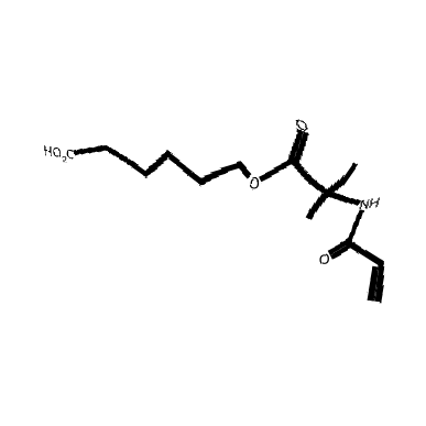 C=CC(=O)NC(C)(C)C(=O)OCCCCCC(=O)O